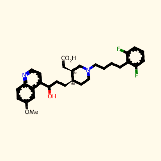 COc1ccc2nccc(C(O)CC[C@@H]3CCN(CCCCc4c(F)cccc4F)C[C@@H]3CC(=O)O)c2c1